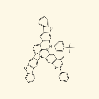 C=C1C=C(c2ccccc2)Sc2cc3c(cc21)B1c2c(ccc4c5cc6oc7ccccc7c6cc5n-3c24)-c2cc3c(cc2N1c1ccc(C(C)(C)C)cc1)oc1ccccc13